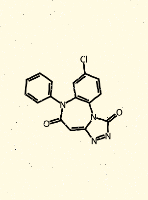 O=c1cc2nnc(=O)n-2c2ccc(Cl)cc2n1-c1ccccc1